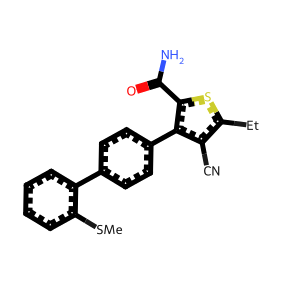 CCc1sc(C(N)=O)c(-c2ccc(-c3ccccc3SC)cc2)c1C#N